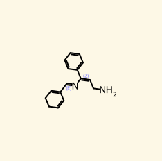 NC/C=C(\N=C\C1=CCCC=C1)c1ccccc1